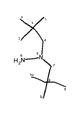 CC(C)(C)CN(N)CC(C)(C)C